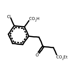 CCOC(=O)CC(=O)Cc1cccc(Cl)c1C(=O)O